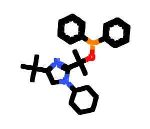 CC(C)(OP(c1ccccc1)c1ccccc1)C1=NC(C(C)(C)C)CN1C1CCCCC1